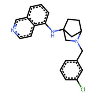 Clc1cccc(CN2CC3(Nc4cccc5cnccc45)CCC2C3)c1